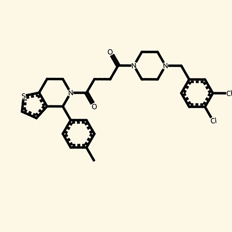 Cc1ccc(C2c3ccsc3CCN2C(=O)CCC(=O)N2CCN(Cc3ccc(Cl)c(Cl)c3)CC2)cc1